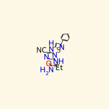 CC[C@@H](Nc1cnc(C#N)c(Nc2cc(-c3ccccc3)ns2)n1)C(N)=O